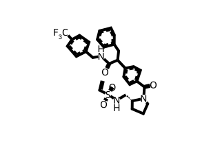 C=CS(=O)(=O)NC[C@H]1CCCN1C(=O)c1ccc(C(Cc2ccccc2)C(=O)NCc2ccc(C(F)(F)F)cc2)cc1